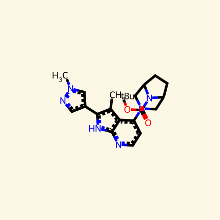 Cc1c(-c2cnn(C)c2)[nH]c2nccc(N3CC4CCC(C3)N4C(=O)OC(C)(C)C)c12